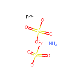 O=S(=O)([O-])[O-].O=S(=O)([O-])[O-].[NH4+].[Pr+3]